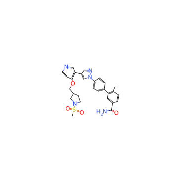 Cc1ccc(C(N)=O)cc1-c1ccc(-n2cc(-c3cnccc3OCC3CCN(S(C)(=O)=O)C3)cn2)cc1